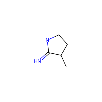 CC1CC[N]C1=N